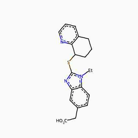 CCn1c(SC2CCCc3cccnc32)nc2cc(CC(=O)O)ccc21